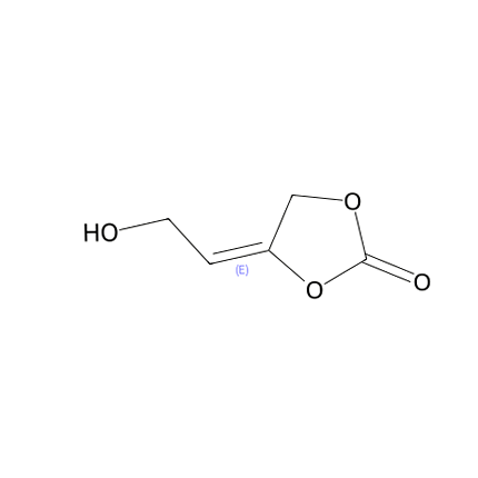 O=C1OC/C(=C\CO)O1